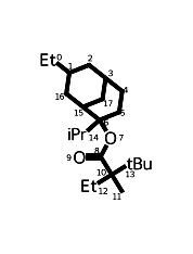 CCC1CC2CCC(OC(=O)C(C)(CC)C(C)(C)C)(C(C)C)C(C1)C2